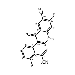 C=C(C#N)c1c(C)cccc1-c1coc2cc(C)c(Cl)cc2c1=O